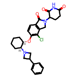 O=C1CCC(N2Cc3c(ccc(O[C@H]4CCCC[C@@H]4N4CC(c5ccccc5)C4)c3Cl)C2=O)C(=O)N1